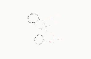 [CH2]C([CH2])([C](OP(O)O)c1ccccc1CCCCCCCCC)C(OP(O)O)c1ccccc1CCCCCCCCC